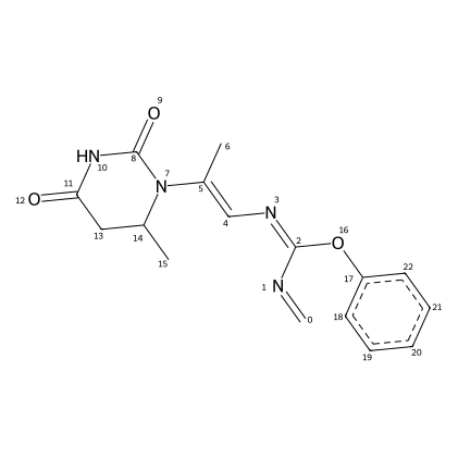 C=N/C(=N\C=C(/C)N1C(=O)NC(=O)CC1C)Oc1ccccc1